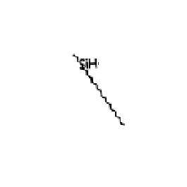 CCCCCCCCCCCCCCCCCC[SiH]CCC